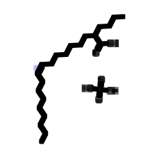 CCCCCCCC/C=C\CCCCCCC(CCCC)C(=O)O.O=S(=O)(O)O